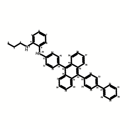 CCCNc1ccccc1Nc1ccc(-c2c3ccccc3c(-c3ccc(-c4ccccc4)cc3)c3ccccc23)cc1